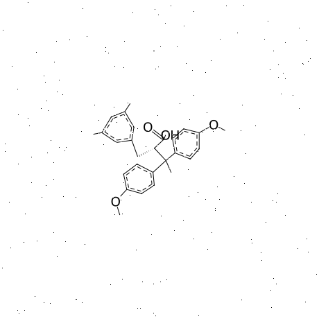 COc1ccc(C(C)(c2ccc(OC)cc2)[C@H](Cc2cc(C)cc(C)c2)C(=O)O)cc1